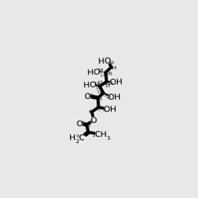 C=C(C)C(=O)OCC(O)C(=O)[C@H](O)[C@@H](O)[C@H](O)[C@H](O)CO